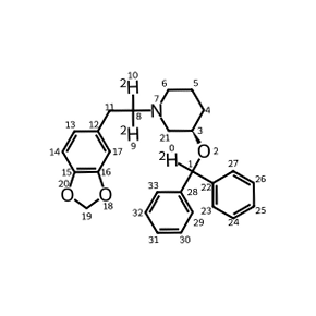 [2H]C(O[C@@H]1CCCN(C([2H])([2H])Cc2ccc3c(c2)OCO3)C1)(c1ccccc1)c1ccccc1